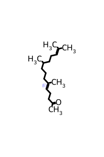 CC(=O)CC/C=C(\C)CCCC(C)CCC=C(C)C